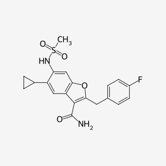 CS(=O)(=O)Nc1cc2oc(Cc3ccc(F)cc3)c(C(N)=O)c2cc1C1CC1